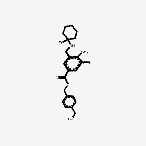 CCC1(NCc2cc(C(=O)OCc3ccc(CO)cc3)cc(Br)c2N)CCCCC1